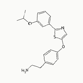 CC(C)Oc1cccc(-c2ncc(Oc3ccc(CCN)cc3)s2)c1